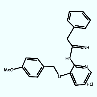 COc1ccc(COc2cccnc2NC(=N)Cc2ccccc2)cc1.Cl